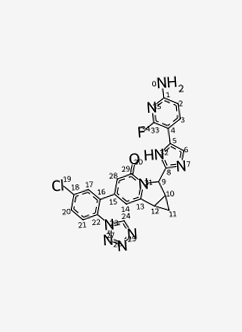 Nc1ccc(-c2cnc(C3C4CC4c4cc(-c5cc(Cl)ccc5-n5cnnn5)cc(=O)n43)[nH]2)c(F)n1